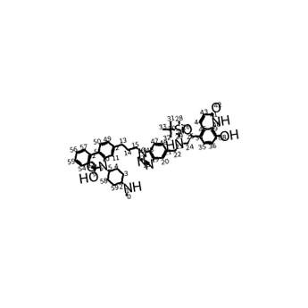 CNC1CCC(N(C(=O)O)c2cc(CCCn3nnc4cc(CNC[C@@H](O[Si](C)(C)C(C)(C)C)c5ccc(O)c6[nH]c(=O)ccc56)ccc43)ccc2-c2ccccc2)CC1